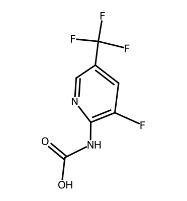 O=C(O)Nc1ncc(C(F)(F)F)cc1F